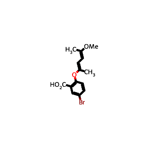 CO/C(C)=C/C=C(\C)Oc1ccc(Br)cc1C(=O)O